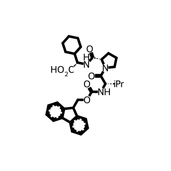 CC(C)[C@H](NC(=O)OCC1c2ccccc2-c2ccccc21)C(=O)N1CCC[C@H]1C(=O)N[C@H](C(=O)O)C1CCCCC1